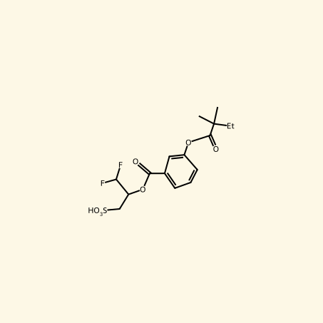 CCC(C)(C)C(=O)Oc1cccc(C(=O)OC(CS(=O)(=O)O)C(F)F)c1